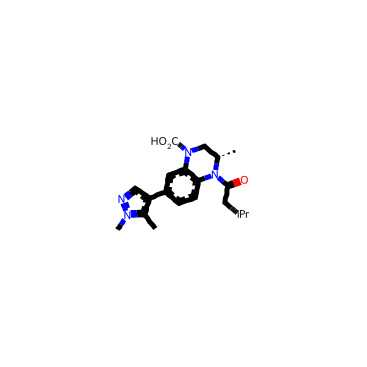 Cc1c(-c2ccc3c(c2)N(C(=O)O)C[C@H](C)N3C(=O)CC(C)C)cnn1C